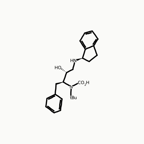 CC(C)(C)N(C(=O)O)[C@@H](Cc1ccccc1)[C@H](O)CN[C@@H]1CCc2ccccc21